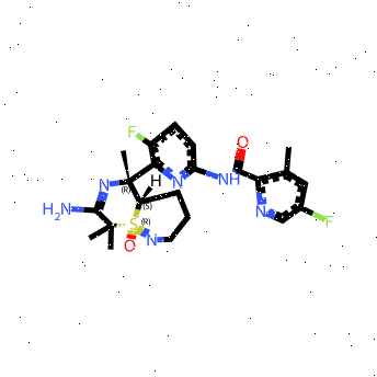 Cc1cc(F)cnc1C(=O)Nc1ccc(F)c([C@@]2(C)N=C(N)C(C)(C)[S@@]3(=O)=NCCC[C@@H]23)n1